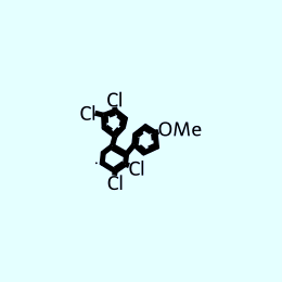 COc1ccc(C2=C(c3ccc(Cl)c(Cl)c3)C[CH]C(Cl)=C2Cl)cc1